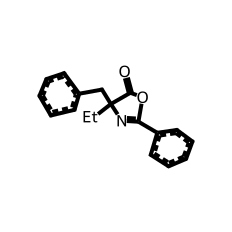 CCC1(Cc2ccccc2)N=C(c2ccccc2)OC1=O